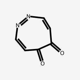 O=c1ccnnccc1=O